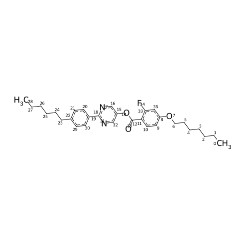 CCCCCCCOc1ccc(C(=O)Oc2cnc(-c3ccc(CCCCCC)cc3)nc2)c(F)c1